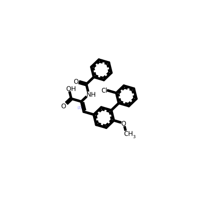 COc1ccc(/C=C(\NC(=O)c2ccccc2)C(=O)O)cc1-c1ccccc1Cl